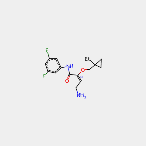 CCC1(CO/C(=C/CN)C(=O)Nc2cc(F)cc(F)c2)CC1